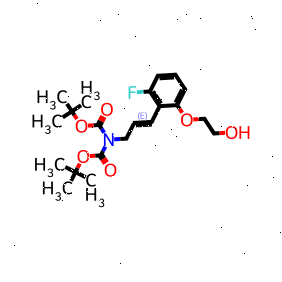 CC(C)(C)OC(=O)N(C/C=C/c1c(F)cccc1OCCO)C(=O)OC(C)(C)C